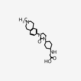 CN1CCc2ccc(N3CCN(C4CCC(NCC(=O)O)CC4)C3=O)cc2CC1